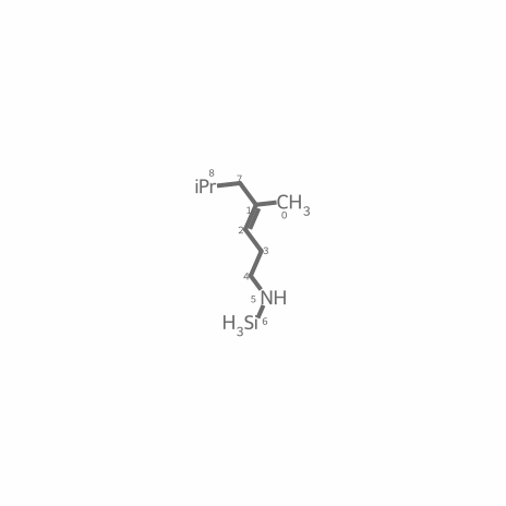 CC(=CCCN[SiH3])CC(C)C